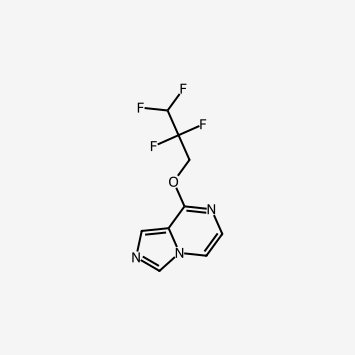 FC(F)C(F)(F)COc1nccn2cncc12